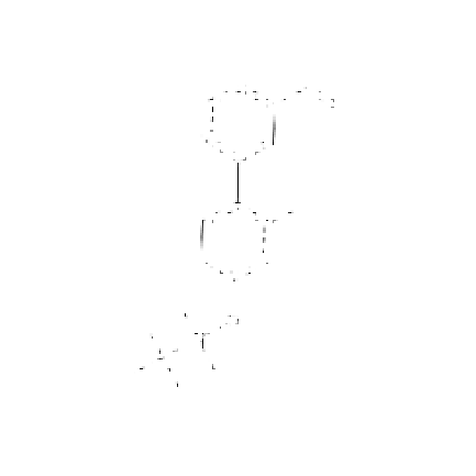 Cc1cc(O[Si](C)(C)C(C)(C)C)ccc1-c1cc(C=O)ccn1